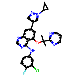 CC(C)(Oc1cc(-c2cnn(C3CC3)c2)cc2ncnc(Nc3ccc(F)c(Cl)c3)c12)c1ncccn1